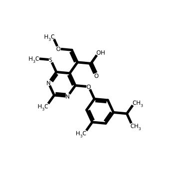 CO/C=C(/C(=O)O)c1c(Oc2cc(C)cc(C(C)C)c2)nc(C)nc1SC